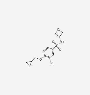 O=S(=O)(NC1COC1)c1cnc(OCC2CC2)c(Br)c1